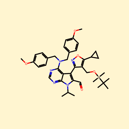 COc1ccc(CN(Cc2ccc(OC)cc2)c2ncnc3c2c(-c2noc(C4CC4)c2CO[Si](C)(C)C(C)(C)C)c(C=O)n3C(C)C)cc1